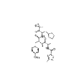 COc1ccc(CC(NC(=O)C(C)NC(=O)c2cnc(C)s2)C(=O)NC(CC2CCCC2)C(=O)C2(C)CO2)cc1